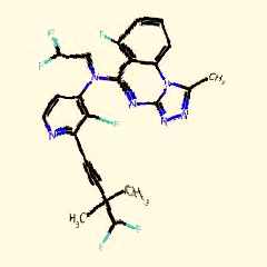 Cc1nnc2nc(N(CC(F)F)c3ccnc(C#CC(C)(C)C(F)F)c3F)c3c(F)cccc3n12